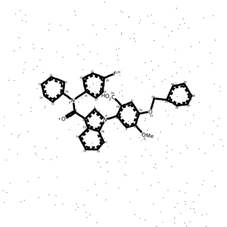 COc1cc(-n2cc(C(=O)N(c3ccccc3)c3ccc(F)cc3)c3ccccc32)c(C(=O)O)cc1OCc1ccccc1